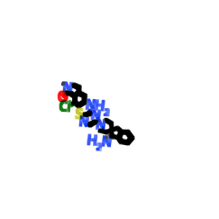 Cn1ccc2ccc(Sc3ncc(N4CCC5(CC4)Cc4ccccc4[C@H]5N)nc3N)c(Cl)c2c1=O